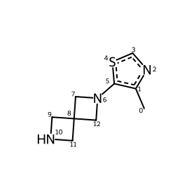 Cc1ncsc1N1CC2(CNC2)C1